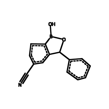 N#Cc1ccc2c(c1)C(c1ccccc1)OB2O